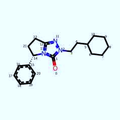 O=c1n(CCC2CCCCC2)nc2n1[C@H](c1ccccc1)CC2